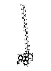 CCCCCCCCCCCCCCCCCCCCCCOc1cccc2c1C(Br)(c1cccc(F)c1)c1ccccc1-2